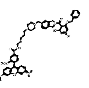 CN(C)c1ccc2c(-c3ccc(C(=O)NCCCCCN4CCN(Cc5ccc6c(c5)CN(C(=O)c5c(O)cc(O)cc5OCc5ccccc5)C6)CC4)cc3C(=O)[O-])c3ccc(=[N+](C)C)cc-3oc2c1